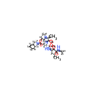 CCCC(NC(=O)[C@@H]1C[C@@H](OC(=O)N2CCc3ccccc3C2)CN1C(=O)C(C)N1CCCCC1)C(=O)C(=O)NC1CC1